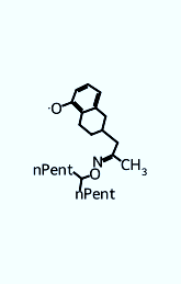 CCCCCC(CCCCC)ON=C(C)CC1CCc2c([O])cccc2C1